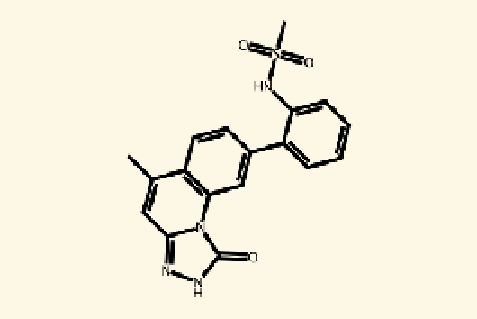 Cc1cc2n[nH]c(=O)n2c2cc(-c3ccccc3NS(C)(=O)=O)ccc12